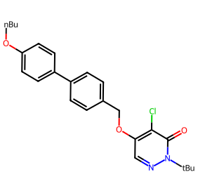 CCCCOc1ccc(-c2ccc(COc3cnn(C(C)(C)C)c(=O)c3Cl)cc2)cc1